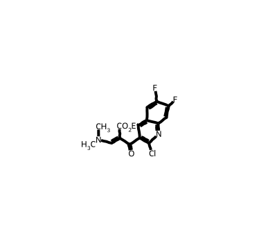 CCOC(=O)/C(=C\N(C)C)C(=O)c1cc2cc(F)c(F)cc2nc1Cl